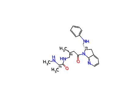 CN[C@@H](C)C(=O)NC[C@@H](C)CC(=O)N1c2ncccc2C[C@H]1CNc1ccccc1